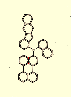 c1ccc(-c2cccc3cccc(-c4ccc(N(c5cccc6ccccc56)c5cccc6c5oc5cc7ccccc7cc56)cc4)c23)cc1